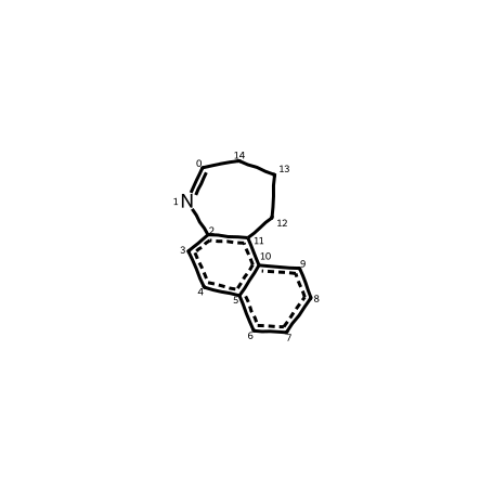 C1=Nc2ccc3ccccc3c2CCC1